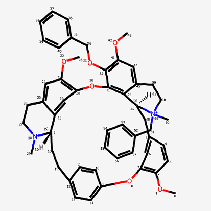 COc1ccc2cc1Oc1ccc(cc1)CC[C@H]1c3cc(c(OC)cc3CCN1C)Oc1c(OCc3ccccc3)c(OC)cc3c1[C@H](C2)[N+](C)(Cc1ccccc1)CC3